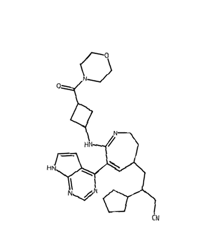 N#CCC(CC1C=C(c2ncnc3[nH]ccc23)C(NC2CC(C(=O)N3CCOCC3)C2)=NCC1)C1CCCC1